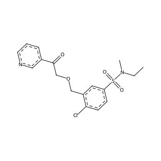 CCN(C)S(=O)(=O)c1ccc(Cl)c(COCC(=O)c2cccnc2)c1